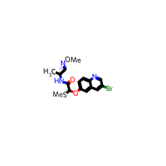 CO/N=C/C(C)NC(=O)C(Oc1ccc2ncc(Br)cc2c1)SC